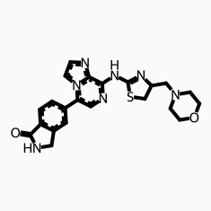 O=C1NCc2cc(-c3cnc(NC4=NC(CN5CCOCC5)CS4)c4nccn34)ccc21